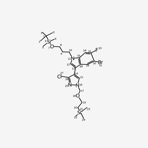 CC(C)(C)[Si](C)(C)OCCCn1cc(-c2cn(COCC[Si](C)(C)C)nc2Cl)c2cc(Br)c(F)cc21